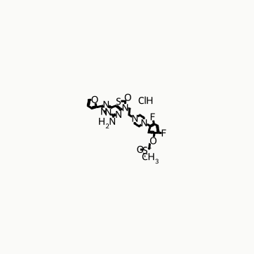 C[S@+]([O-])CCOc1cc(N2CCN(CCn3c(=O)sc4c3nc(N)n3nc(-c5ccco5)nc43)CC2)c(F)cc1F.Cl